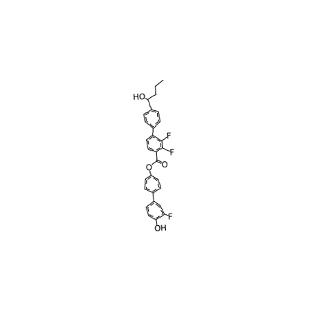 CCCC(O)c1ccc(-c2ccc(C(=O)Oc3ccc(-c4ccc(O)c(F)c4)cc3)c(F)c2F)cc1